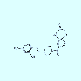 N#Cc1cc(C(F)(F)F)ccc1OCC1CCN(C(=O)c2ccc3c(c2)NCC(=O)CO3)CC1